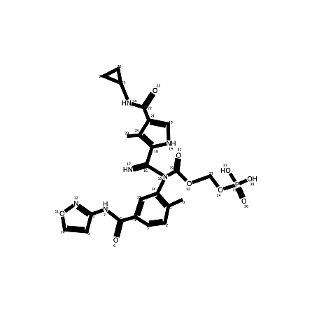 Cc1ccc(C(=O)Nc2ccon2)cc1N(C(=N)c1[nH]cc(C(=O)NC2CC2)c1C)C(=O)OCOP(=O)(O)O